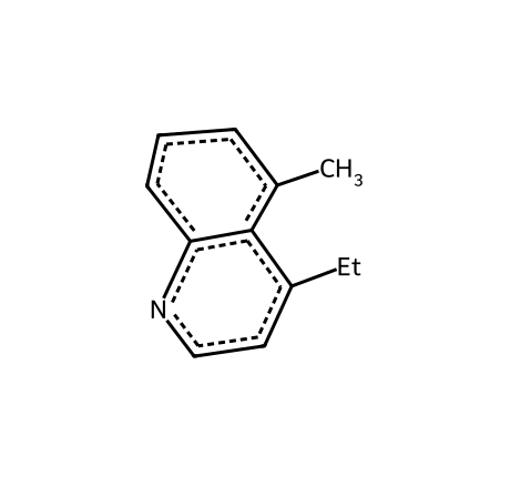 CCc1ccnc2cccc(C)c12